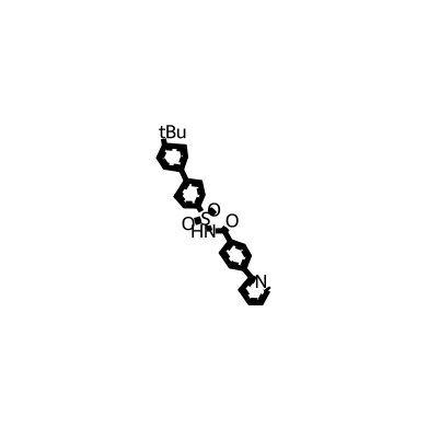 CC(C)(C)c1ccc(-c2ccc(S(=O)(=O)NC(=O)c3ccc(-c4ccccn4)cc3)cc2)cc1